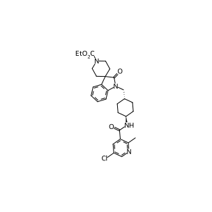 CCOC(=O)N1CCC2(CC1)C(=O)N(C[C@H]1CC[C@H](NC(=O)c3cc(Cl)cnc3C)CC1)c1ccccc12